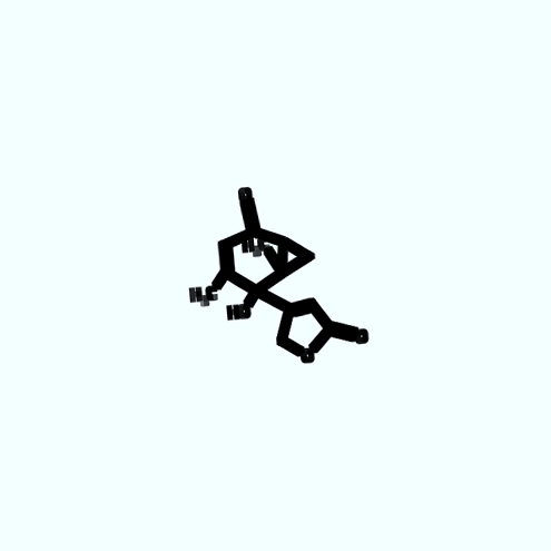 CC1=CC(=O)C2CC2(C)C1(O)C1=CC(=O)OC1